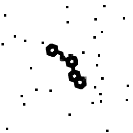 c1ccc(COc2cc(-c3ccc4cccnc4c3)ccn2)cc1